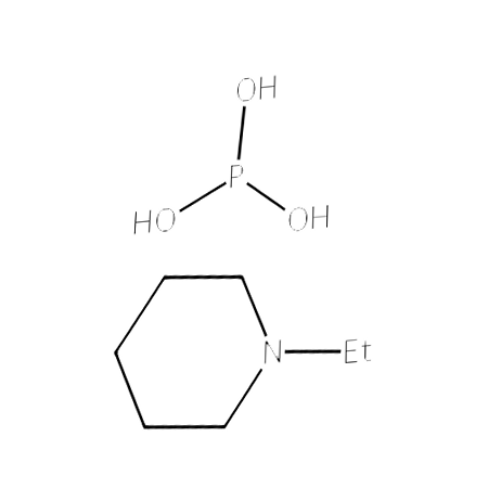 CCN1CCCCC1.OP(O)O